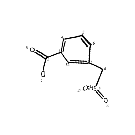 O=C(Cl)c1cccc(C[SH](=O)=O)c1